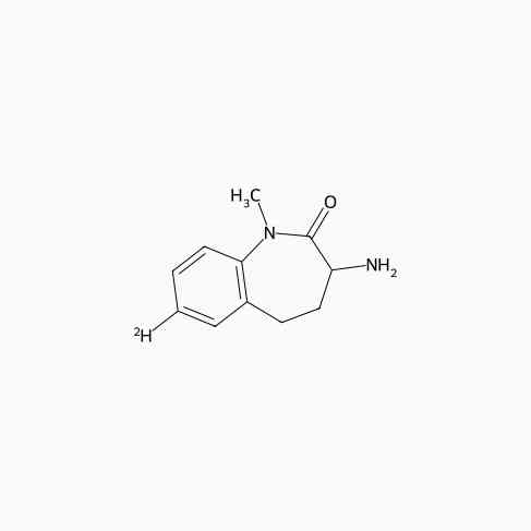 [2H]c1ccc2c(c1)CCC(N)C(=O)N2C